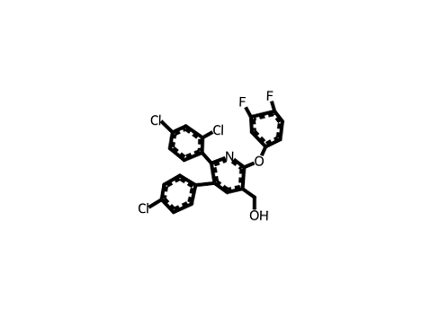 OCc1cc(-c2ccc(Cl)cc2)c(-c2ccc(Cl)cc2Cl)nc1Oc1ccc(F)c(F)c1